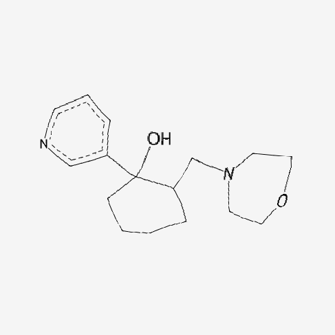 OC1(c2cccnc2)CCCCC1CN1CCOCC1